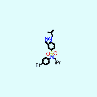 C=C(C)Cn1ncc2cc(S(=O)(=O)N(CC(C)C)c3ccc(CC)cc3)ccc21